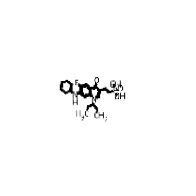 CCC(CC)n1cc(/C=C/P(=O)(O)O)c(=O)c2cc(F)c(NC3CCCCC3)cc21